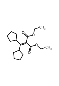 CCOC(=O)C(C(=O)OCC)=C(C1CCCC1)C1CCCC1